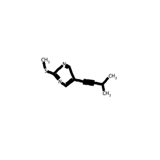 CSc1ncc(C#CC(C)C)cn1